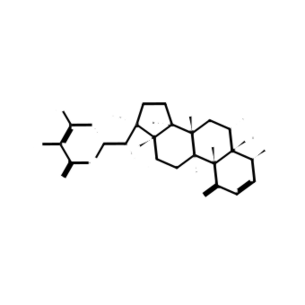 C=C1O[C@@H]([C@@H](C)[C@@]2(O)CC[C@H]3[C@@H]4C[C@H](O)[C@]5(O)[C@@H](O)C=CC(=O)[C@]5(C)[C@H]4CC[C@@]32C)CC(C)=C1C